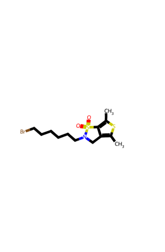 Cc1sc(C)c2c1CN(CCCCCCBr)S2(=O)=O